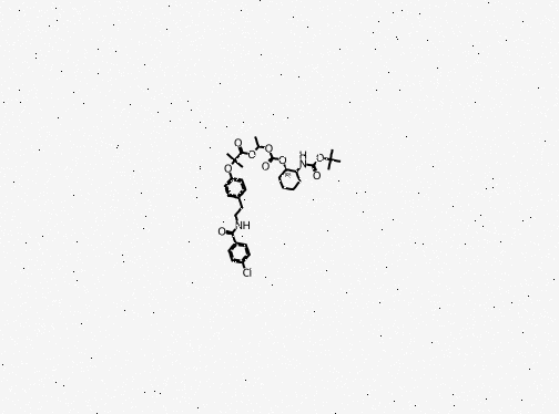 CC(OC(=O)O[C@@H]1CCCCC1NC(=O)OC(C)(C)C)OC(=O)C(C)(C)Oc1ccc(CCNC(=O)c2ccc(Cl)cc2)cc1